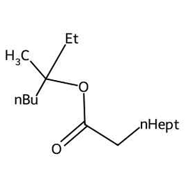 CCCCCCCCC(=O)OC(C)(CC)CCCC